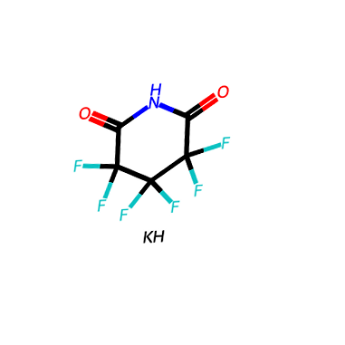 O=C1NC(=O)C(F)(F)C(F)(F)C1(F)F.[KH]